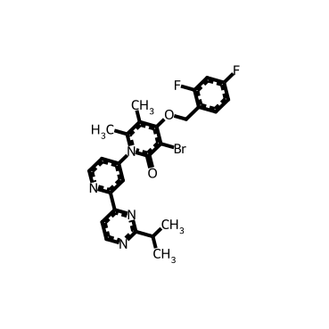 Cc1c(OCc2ccc(F)cc2F)c(Br)c(=O)n(-c2ccnc(-c3ccnc(C(C)C)n3)c2)c1C